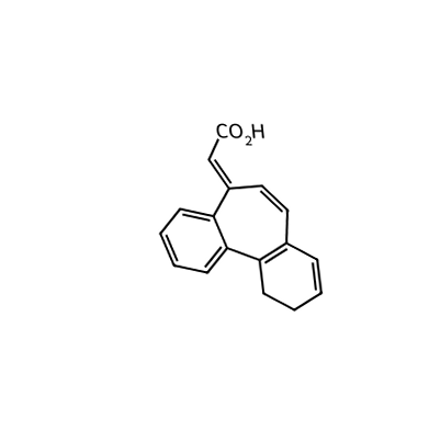 O=C(O)C=C1C=CC2=C(CCC=C2)c2ccccc21